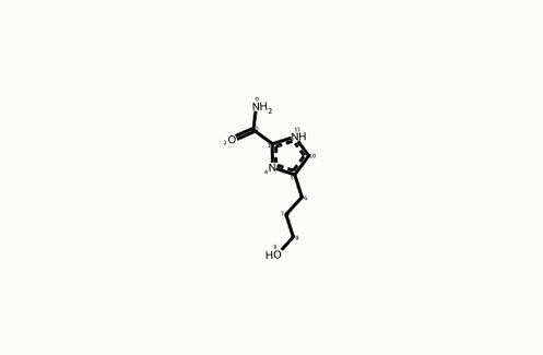 NC(=O)c1nc(C[CH]CO)c[nH]1